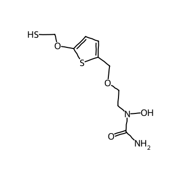 NC(=O)N(O)CCOCc1ccc(OCS)s1